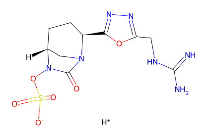 N=C(N)NCc1nnc([C@@H]2CC[C@@H]3CN2C(=O)N3OS(=O)(=O)[O-])o1.[H+]